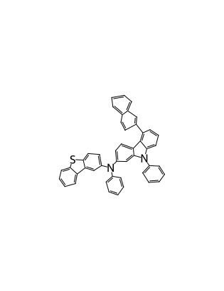 c1ccc(N(c2ccc3sc4ccccc4c3c2)c2ccc3c4c(-c5ccc6ccccc6c5)cccc4n(-c4ccccc4)c3c2)cc1